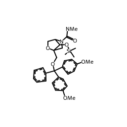 CNC(=O)N1CC2(COC(c3ccccc3)(c3ccc(OC)cc3)c3ccc(OC)cc3)OCC1C2O[Si](C)(C)C